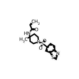 C=CC(=O)NC1(C)CCN(S(=O)(=O)c2ccc3ncsc3c2)CC1